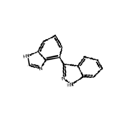 [c]1nc2c(-c3n[nH]c4ccccc34)cccc2[nH]1